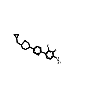 CCOc1ccc(-c2ccc(C3CCC(CC4CC4)CC3)cc2)c(F)c1F